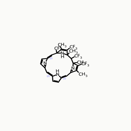 CC1=C(C(F)(F)F)C2(C)N=C1/C=c1/cc/c([nH]1)=C/C1=NC(=C\C3(C(F)(F)F)NC(C)(C(C(F)(F)F)=C3C)C2C(F)(F)F)/C=C1